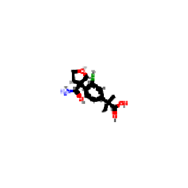 CC(C)(C(=O)O)c1ccc(C2(C(N)=O)CCOC2)c(F)c1